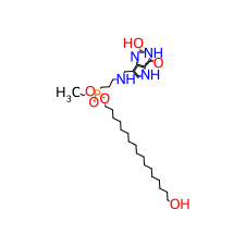 CCOP(=O)(CCCNCc1c[nH]c2c(=O)[nH]c(O)nc12)OCCCCCCCCCCCCCCCCCO